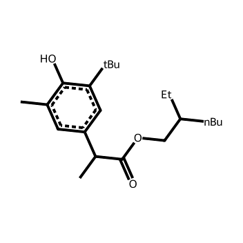 CCCCC(CC)COC(=O)C(C)c1cc(C)c(O)c(C(C)(C)C)c1